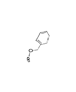 [B]OCc1ccccc1